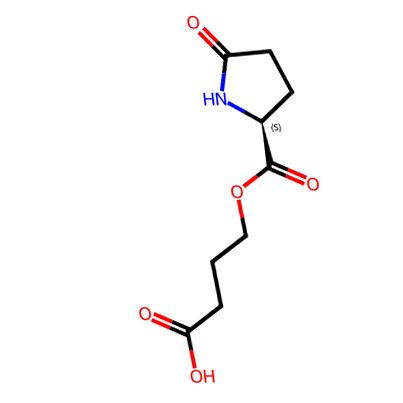 O=C(O)CCCOC(=O)[C@@H]1CCC(=O)N1